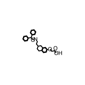 O=C(O)COc1ccc2c(c1)CC(C/C=N\OC(c1ccccc1)c1ccccc1)CC2